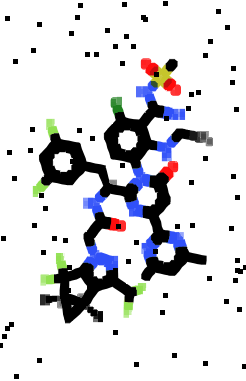 Cc1cc(C)nc(-c2cc(=O)n(-c3ccc(Cl)c(C(=N)NS(C)(=O)=O)c3NCC(F)(F)F)c([C@H](Cc3cc(F)cc(F)c3)NC(=O)Cn3nc(C(F)F)c4c3C(F)(F)[C@@H]3C[C@H]43)n2)n1